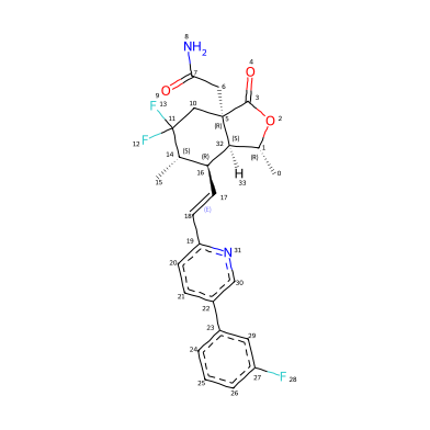 C[C@H]1OC(=O)[C@]2(CC(N)=O)CC(F)(F)[C@@H](C)[C@H](/C=C/c3ccc(-c4cccc(F)c4)cn3)[C@H]12